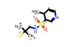 CC1C=CN=CC1S(=O)(=O)NCC(C)(C)S